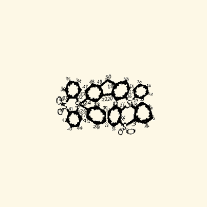 O=S1(=O)c2ccccc2[Si](c2ccccc2)(c2ccc3c(c2)-c2cc([Si]4(c5ccccc5)c5ccccc5S(=O)(=O)c5ccccc54)ccc2C3)c2ccccc21